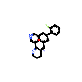 Fc1ccccc1-c1cccc(/C=C2/CCCN=C2c2cccnc2)c1